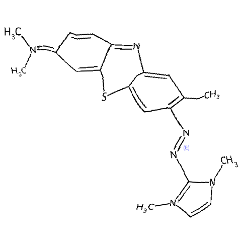 Cc1cc2nc3ccc(=[N+](C)C)cc-3sc2cc1/N=N/c1n(C)cc[n+]1C